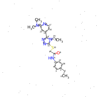 CCc1ccc(NC(=O)CSc2nnc(-c3ccnc(N(C)C)c3)n2CC)cc1